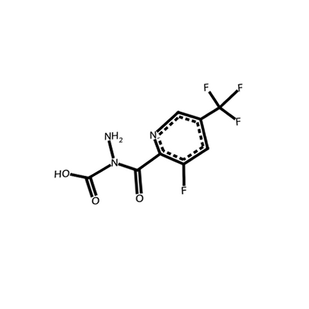 NN(C(=O)O)C(=O)c1ncc(C(F)(F)F)cc1F